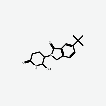 CC(C)(C)c1ccc2c(c1)C(=O)N(C1CCC(=O)NC1O)C2